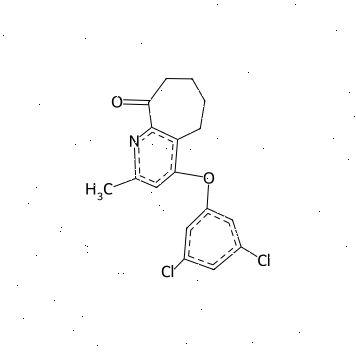 Cc1cc(Oc2cc(Cl)cc(Cl)c2)c2c(n1)C(=O)CCCC2